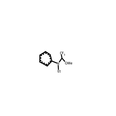 CCN(c1ccccc1)C(OC)C(F)(F)F